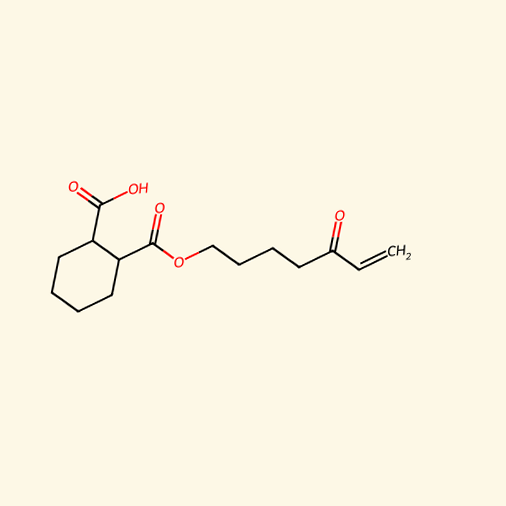 C=CC(=O)CCCCOC(=O)C1CCCCC1C(=O)O